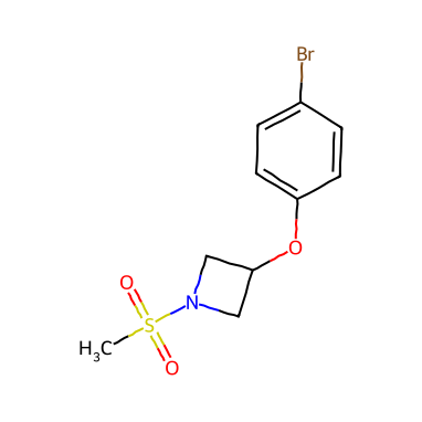 CS(=O)(=O)N1CC(Oc2ccc(Br)cc2)C1